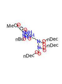 CCCCCCCCCCCCOC(=O)CCN(CCCCCC(=O)Nc1nc(OCCCC)nc2c1[nH]c(=O)n2Cc1cccc(CC(=O)OC)c1)CCCN(CCC(=O)OCCCCCCCCCCCC)CCC(=O)OCCCCCCCCCCCC